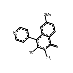 COc1ccc2c(=O)n(C)c(C#N)c(-c3ccncc3)c2c1